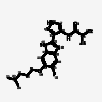 CCN(CC)C(=O)Nc1c[nH]nc1-c1nc2cc(F)c(OCCCN(C)C)cc2[nH]1